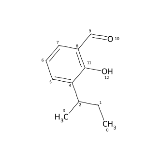 CCC(C)c1cccc(C=O)c1O